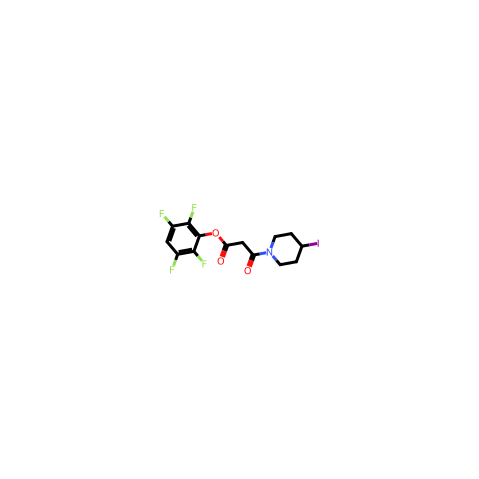 O=C(CC(=O)N1CCC(I)CC1)Oc1c(F)c(F)cc(F)c1F